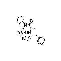 C[C@H](NC(Cc1ccccc1)C(=O)O)C(=O)N1C2CCCCC2C[C@H]1C(=O)O